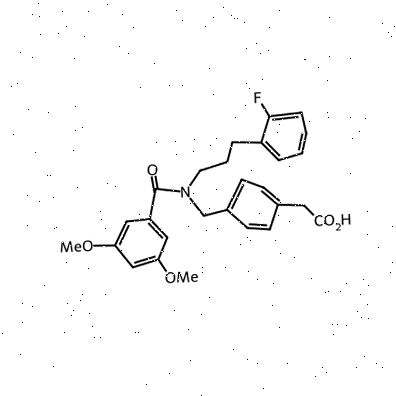 COc1cc(OC)cc(C(=O)N(CCCc2ccccc2F)Cc2ccc(CC(=O)O)cc2)c1